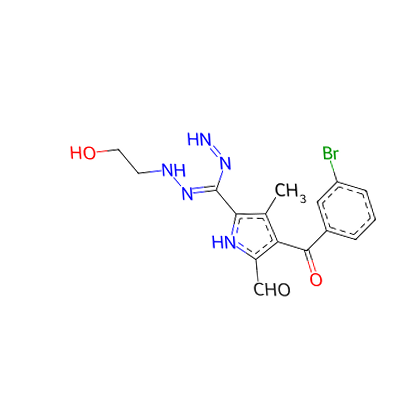 Cc1c(/C(N=N)=N/NCCO)[nH]c(C=O)c1C(=O)c1cccc(Br)c1